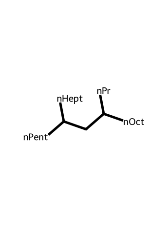 CCCCCCCCC(CCC)CC(CCCCC)CCCCCCC